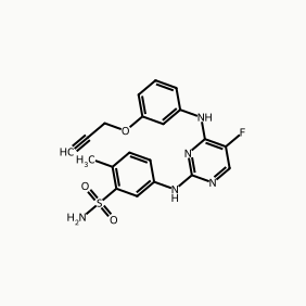 C#CCOc1cccc(Nc2nc(Nc3ccc(C)c(S(N)(=O)=O)c3)ncc2F)c1